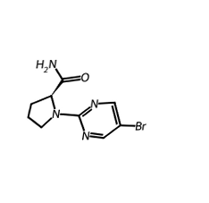 NC(=O)[C@@H]1CCCN1c1ncc(Br)cn1